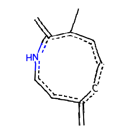 C=c1cccc(C)c(=C)[nH]cc1